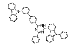 c1ccc(C2=NC(c3cccc4c3c3ccccc3n4-c3ccccc3)NC(c3ccc(-c4cccc(-n5c6ccccc6c6ccccc65)c4)cc3)=N2)cc1